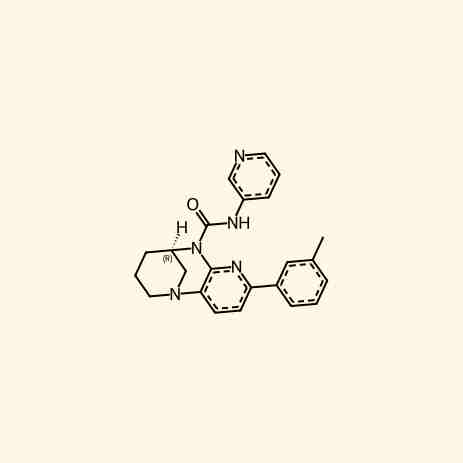 Cc1cccc(-c2ccc3c(n2)N(C(=O)Nc2cccnc2)[C@@H]2CCCN3C2)c1